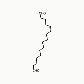 O=CCCC/C=C\CCCCCCCCCC=O